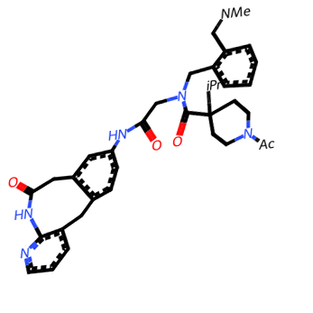 CNCc1ccccc1CN(CC(=O)Nc1ccc2c(c1)CC(=O)Nc1ncccc1C2)C(=O)C1(C(C)C)CCN(C(C)=O)CC1